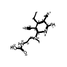 CCc1c(C#N)c(S)nc(N(C)CCNC(=O)O)c1C#N